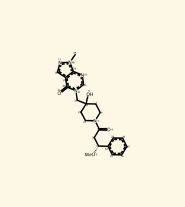 CO[C@H](CC(=O)N1CCC(O)(Cn2cnc3c(cnn3C)c2=O)CC1)c1ccccc1